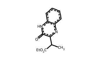 CCOC(=O)C(C)c1nc2ccccc2[nH]c1=O